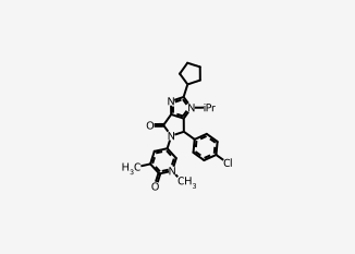 Cc1cc(N2C(=O)c3nc(C4CCCC4)n(C(C)C)c3C2c2ccc(Cl)cc2)cn(C)c1=O